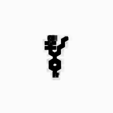 CCCCCC(CC(C)(C)[Si](C)(C)O)c1ccc(Br)cc1